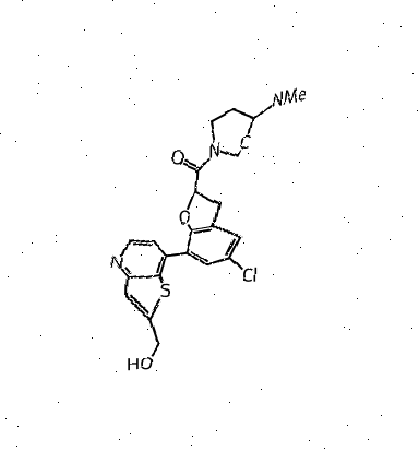 CNC1CCN(C(=O)C2Cc3cc(Cl)cc(-c4ccnc5cc(CO)sc45)c3O2)CC1